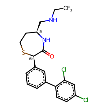 O=C1N[C@H](CNCC(F)(F)F)CCS[C@@H]1c1cccc(-c2ccc(Cl)cc2Cl)c1